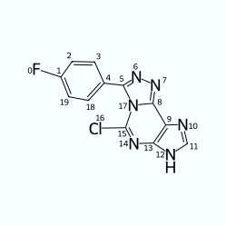 Fc1ccc(-c2nnc3c4nc[nH]c4nc(Cl)n23)cc1